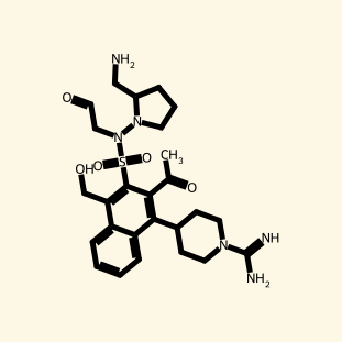 CC(=O)c1c(S(=O)(=O)N(CC=O)N2CCCC2CN)c(CO)c2ccccc2c1C1CCN(C(=N)N)CC1